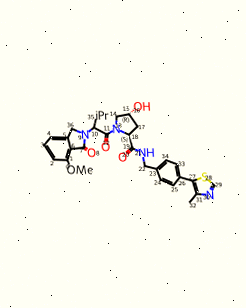 COc1cccc2c1C(=O)N(C(C(=O)N1C[C@H](O)C[C@H]1C(=O)NCc1ccc(-c3scnc3C)cc1)C(C)C)C2